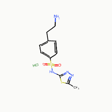 Cl.NCCc1ccc(S(=O)(=O)Nc2nnc(C(F)(F)F)s2)cc1